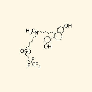 CN(CCCCCCS(=O)(=O)CCCC(F)(F)C(F)(F)F)CCCCCC1=C(c2cccc(O)c2)CCCc2cc(O)ccc21